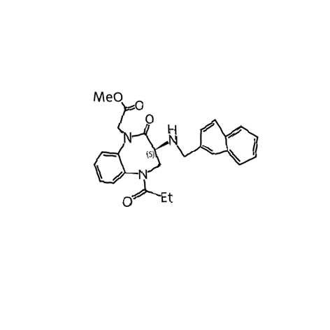 CCC(=O)N1C[C@H](NCc2ccc3ccccc3c2)C(=O)N(CC(=O)OC)c2ccccc21